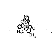 Cc1cc(C(C)Nc2ccccc2C(=O)OC(C)(C)C)c2oc(-c3cc4ccncc4o3)cc(=O)c2c1